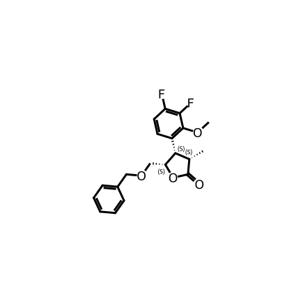 COc1c([C@@H]2[C@H](C)C(=O)O[C@@H]2COCc2ccccc2)ccc(F)c1F